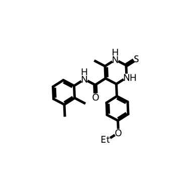 CCOc1ccc(C2NC(=S)NC(C)=C2C(=O)Nc2cccc(C)c2C)cc1